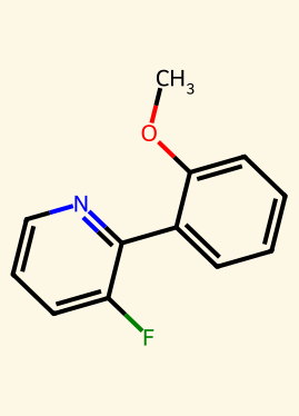 COc1ccccc1-c1ncccc1F